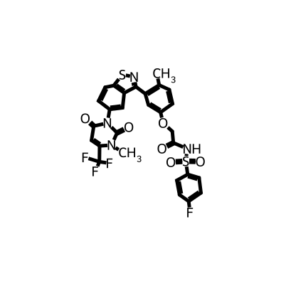 Cc1ccc(OCC(=O)NS(=O)(=O)c2ccc(F)cc2)cc1-c1nsc2ccc(-n3c(=O)cc(C(F)(F)F)n(C)c3=O)cc12